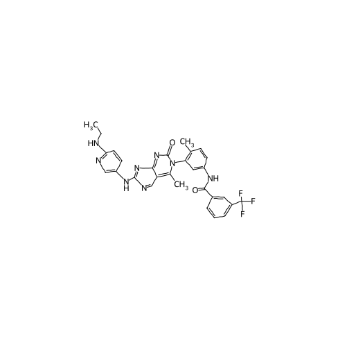 CCNc1ccc(Nc2ncc3c(C)n(-c4cc(NC(=O)c5cccc(C(F)(F)F)c5)ccc4C)c(=O)nc3n2)cn1